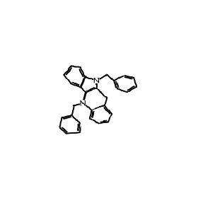 c1ccc(CN2c3ccccc3Cc3c2c2ccccc2n3Cc2ccccc2)cc1